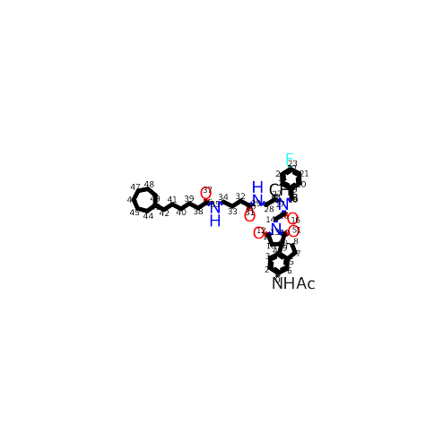 CC(=O)Nc1ccc2c(c1)CC[C@@]21CC(=O)N(CC(=O)N(Cc2ccc(F)cc2)[C@@H](C)CNC(=O)CCCNC(=O)CCCCCC2CCCCCC2)C1=O